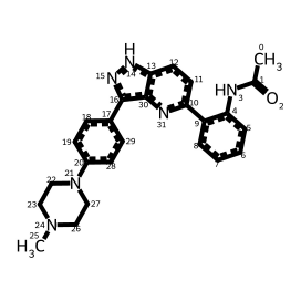 CC(=O)Nc1ccccc1-c1ccc2[nH]nc(-c3ccc(N4CCN(C)CC4)cc3)c2n1